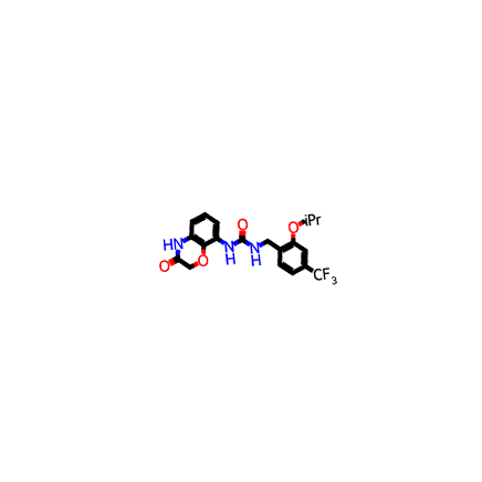 CC(C)Oc1cc(C(F)(F)F)ccc1CNC(=O)Nc1cccc2c1OCC(=O)N2